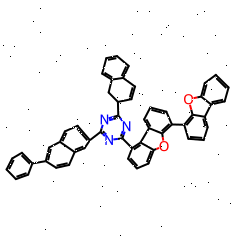 C1=CC(c2nc(-c3ccc4cc(-c5ccccc5)ccc4c3)nc(-c3cccc4oc5c(-c6cccc7c6oc6ccccc67)cccc5c34)n2)Cc2ccccc21